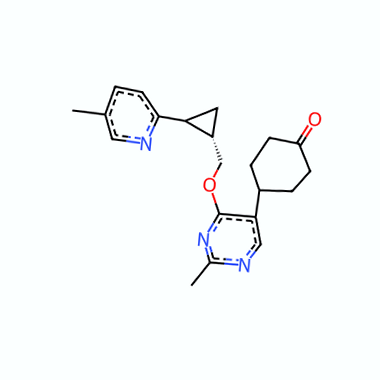 Cc1ccc(C2C[C@@H]2COc2nc(C)ncc2C2CCC(=O)CC2)nc1